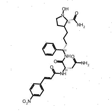 NC(=O)C[C@H](NC(=O)C=Cc1ccc([N+](=O)[O-])cc1)C(=O)N[C@@H](CCCC1CCN(O)[C@@H]1C(N)=O)c1ccccc1